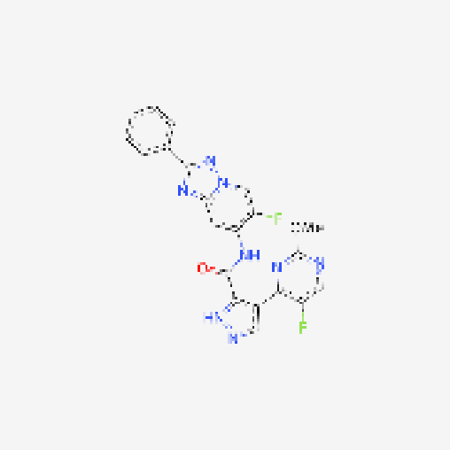 COc1ncc(F)c(-c2cn[nH]c2C(=O)Nc2cc3nc(-c4ccccc4)nn3cc2F)n1